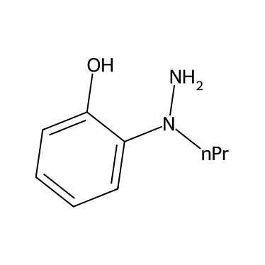 CCCN(N)c1ccccc1O